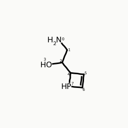 NCC(O)C1C=CP1